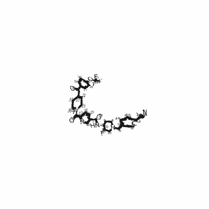 N#Cc1ccc(CN2CC[C@@H](NC(=O)c3ccc(C(=O)N4CCC(C(=O)c5ccc(OC(F)(F)F)cc5)CC4)nc3)[C@H](F)C2)cc1